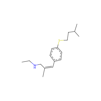 CCNCC(C)=Cc1ccc(SCCC(C)C)cc1